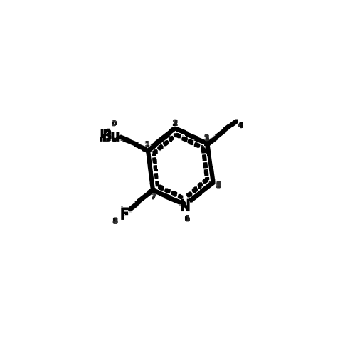 CCC(C)c1cc(C)cnc1F